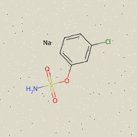 NS(=O)(=O)Oc1cccc(Cl)c1.[Na]